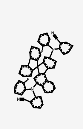 N#Cc1ccccc1N(c1ccc2c(c1)C1(c3ccccc3-c3ccccc31)c1cc(N(c3ccccc3F)c3ccccc3C#N)c3ccccc3c1-2)c1ccccc1F